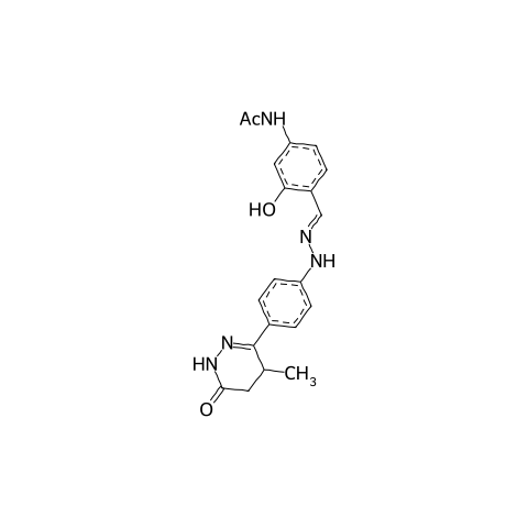 CC(=O)Nc1ccc(/C=N/Nc2ccc(C3=NNC(=O)CC3C)cc2)c(O)c1